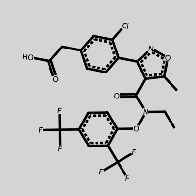 CCN(Oc1ccc(C(F)(F)F)cc1C(F)(F)F)C(=O)c1c(-c2ccc(CC(=O)O)cc2Cl)noc1C